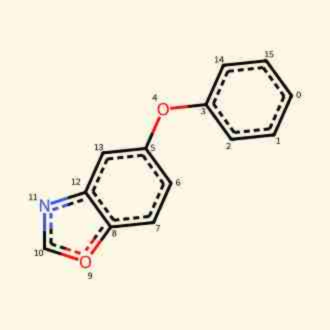 c1ccc(Oc2ccc3ocnc3c2)cc1